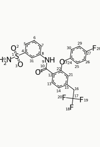 NS(=O)(=O)c1cccc(NC(=O)c2ccc(CC(F)(F)F)cc2Oc2ccc(F)cc2)c1